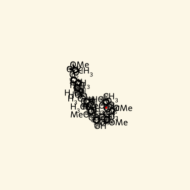 COC1=C[C@@H](C)O[C@@H](O[C@H]2CC[C@@]3(C)C(=CC[C@@H]4[C@@H]3CC[C@@]3(C)[C@H]4CC[C@]3(O)[C@H](C)O[C@H]3C[C@H]4OCO[C@@]5(C[C@@H](OC)[C@H](O[C@H]6C[C@H](O)[C@H](O[C@H]7C[C@H](OC)[C@H](O[C@H]8C[C@H](OC)[C@H](O[C@@H]9O[C@H](C)[C@H](O)[C@H](OC)[C@H]9OC(C)=O)[C@@H](C)O8)[C@@H](C)O7)[C@@H](C)O6)[C@@H](C)O5)O[C@@H]4[C@@H](C)O3)C2)C1=O